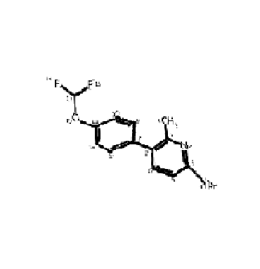 Cc1nc(C(C)C)ccc1-c1ccc(OC(F)F)cc1